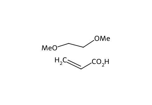 C=CC(=O)O.COCCOC